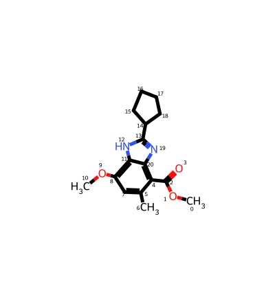 COC(=O)c1c(C)cc(OC)c2[nH]c(C3CCCC3)nc12